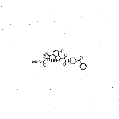 CNC(=O)c1nc(-c2ccc(F)c3c(C(=O)C(=O)N4CCN(C(=O)c5ccccc5)CC4)c[nH]c23)no1